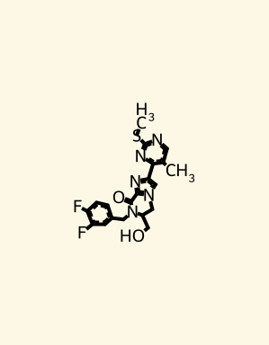 CSc1ncc(C)c(-c2cn3c(n2)C(=O)N(Cc2ccc(F)c(F)c2)C(CO)C3)n1